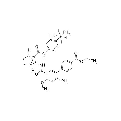 CCOC(=O)c1ccc(-c2cc(C(=O)N[C@@H]3[C@H]4CC[C@H](C4)[C@@H]3C(=O)Nc3ccc(S(C)(F)(P)(I)I)cc3)c(OC)cc2P)cc1